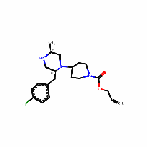 C=CCOC(=O)N1CCC(N2C[C@H](C)NC[C@@H]2Cc2ccc(Cl)cc2)CC1